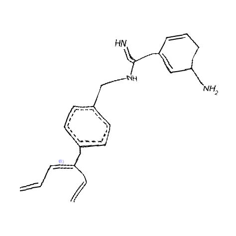 C=C/C=C(\C=C)c1ccc(CNC(=N)C2=CC(N)CC=C2)cc1